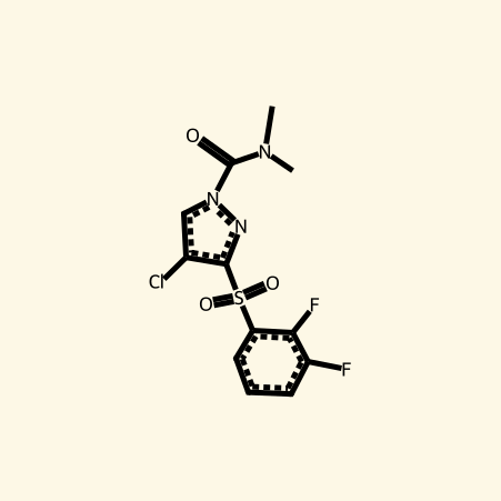 CN(C)C(=O)n1cc(Cl)c(S(=O)(=O)c2cccc(F)c2F)n1